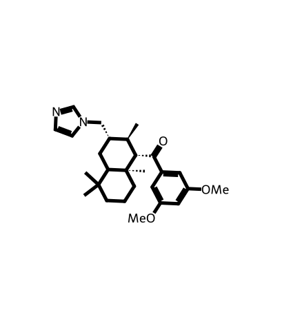 COc1cc(OC)cc(C(=O)[C@H]2[C@H](C)[C@@H](Cn3ccnc3)CC3C(C)(C)CCC[C@@]32C)c1